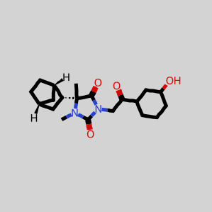 CN1C(=O)N(CC(=O)C2CCCC(O)C2)C(=O)C1(C)[C@@H]1C[C@@H]2CC[C@H]1C2